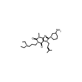 CCN(CC)CCCn1c(=O)c2c(nc(N3CCCC(N)C3)n2CC=C(C)C)n(C)c1=O